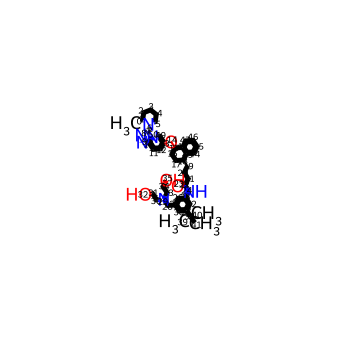 C[C@H]1CCCCN1c1nnc2ccc(O[C@@H]3CC[C@H](CCCC(=O)Nc4cc(CN(CCO)CCO)cc(C(C)(C)C)c4)c4ccccc43)cn12